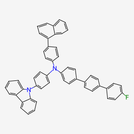 Fc1ccc(-c2ccc(-c3ccc(N(c4ccc(-c5cccc6ccccc56)cc4)c4ccc(-n5c6ccccc6c6ccccc65)cc4)cc3)cc2)cc1